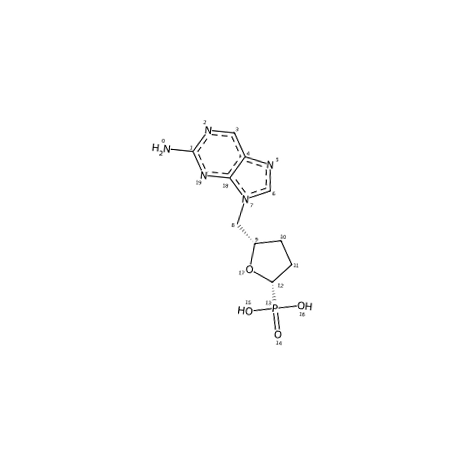 Nc1ncc2ncn(C[C@@H]3CC[C@H](P(=O)(O)O)O3)c2n1